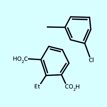 CCc1c(C(=O)O)cccc1C(=O)O.Cc1cccc(Cl)c1